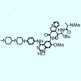 CN[C@@H](C)C(=O)N[C@H](C(=O)C1=C(C(=O)Nc2cc3c(Nc4ccc(N5CCN(C6CCN(C)CC6)CC5)cc4)ncnc3cc2OC)Cn2cccc21)C(C)(C)C.Cl